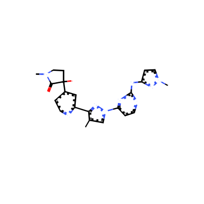 Cc1cn(-c2ccnc(Nc3ccn(C)n3)n2)nc1-c1cc(C2(O)CCN(C)C2=O)ccn1